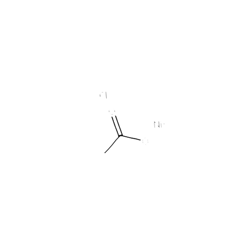 CC(=O)[O-].[Cl-].[Ni+2]